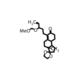 C=CC(CCC1=C2CC[C@]3(C)C(CCC34OCCO4)C2CCC1=O)OCOC